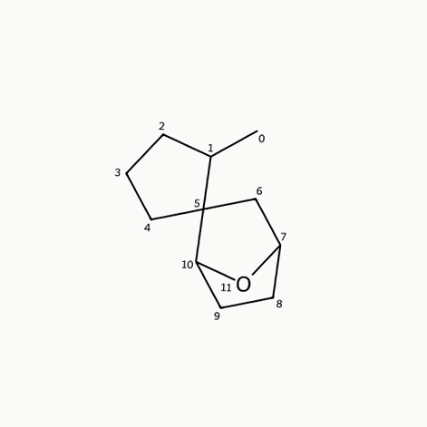 CC1CCCC12CC1CCC2O1